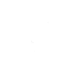 [CH2]CN1CCCC(O)C1